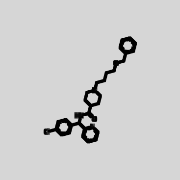 O=C(NC(c1ccc(Cl)cc1)c1ccccn1)C1CCN(CCCCOCc2ccccc2)CC1